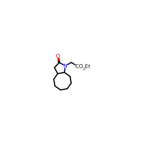 CCOC(=O)CN1C(=O)CC2CCCCCCC21